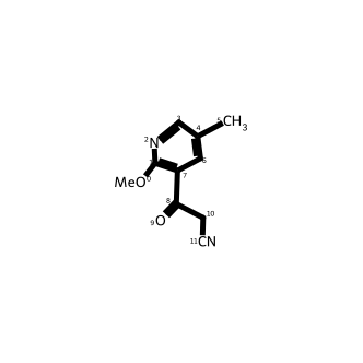 COc1ncc(C)cc1C(=O)CC#N